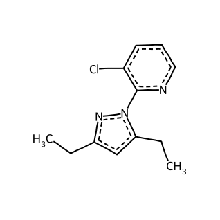 CCc1cc(CC)n(-c2ncccc2Cl)n1